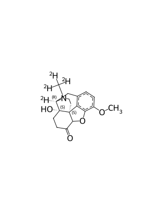 [2H]C([2H])([2H])N1CC[C@]23c4c5ccc(OC)c4OC2C(=O)CC[C@@]3(O)[C@@]1([2H])C5